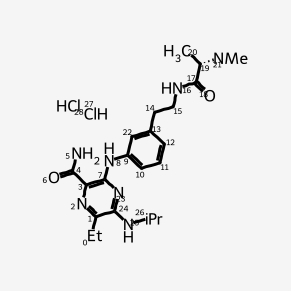 CCc1nc(C(N)=O)c(Nc2cccc(CCNC(=O)[C@H](C)NC)c2)nc1NC(C)C.Cl.Cl